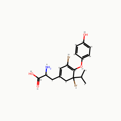 CC(C)C1(Br)CC(CC(N)C(=O)O)=CC(Br)=C1Oc1ccc(O)cc1